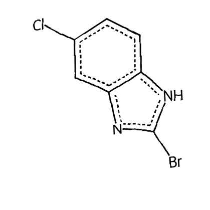 Clc1ccc2[nH]c(Br)nc2c1